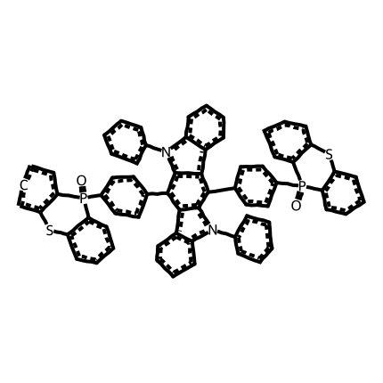 O=P1(c2ccc(-c3c4c5ccccc5n(-c5ccccc5)c4c(-c4ccc(P5(=O)c6ccccc6Sc6ccccc65)cc4)c4c5ccccc5n(-c5ccccc5)c34)cc2)c2ccccc2Sc2ccccc21